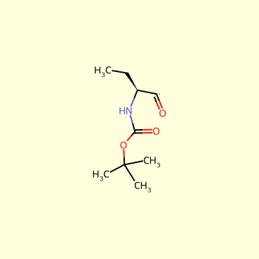 CC[C@@H]([C]=O)NC(=O)OC(C)(C)C